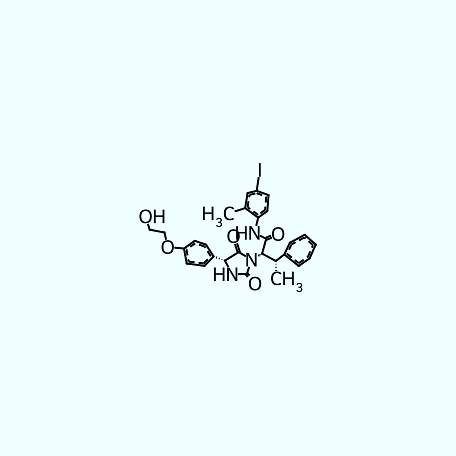 Cc1cc(I)ccc1NC(=O)[C@H]([C@@H](C)c1ccccc1)N1C(=O)N[C@H](c2ccc(OCCO)cc2)C1=O